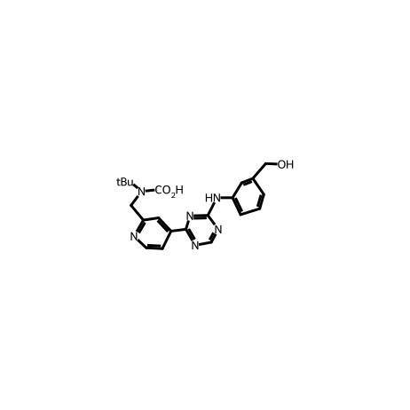 CC(C)(C)N(Cc1cc(-c2ncnc(Nc3cccc(CO)c3)n2)ccn1)C(=O)O